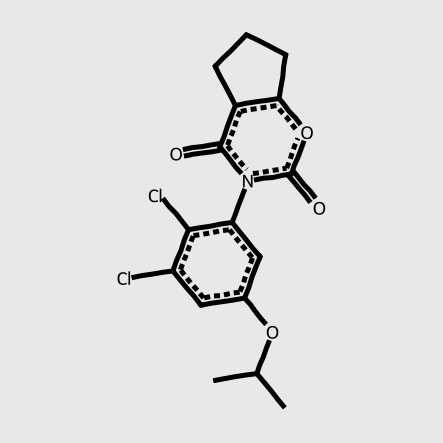 CC(C)Oc1cc(Cl)c(Cl)c(-n2c(=O)oc3c(c2=O)CCC3)c1